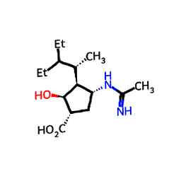 CCC(CC)[C@H](C)[C@@H]1[C@H](O)[C@@H](C(=O)O)C[C@H]1NC(C)=N